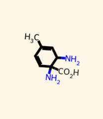 CC1=CC(N)C(N)(C(=O)O)C=C1